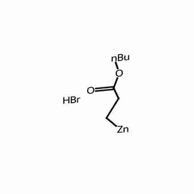 Br.CCCCOC(=O)C[CH2][Zn]